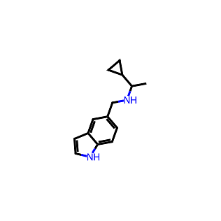 CC(NCc1ccc2[nH]ccc2c1)C1CC1